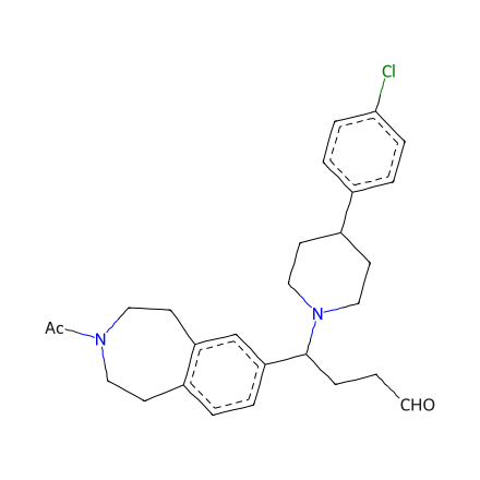 CC(=O)N1CCc2ccc(C(CCC=O)N3CCC(c4ccc(Cl)cc4)CC3)cc2CC1